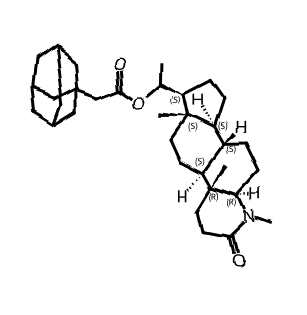 CC(OC(=O)CC12CC3CC(CC(C3)C1)C2)[C@H]1CC[C@H]2[C@@H]3CC[C@H]4N(C)C(=O)CC[C@]4(C)[C@H]3CC[C@]12C